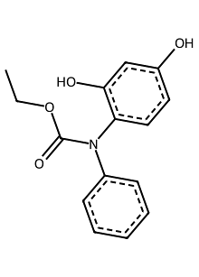 CCOC(=O)N(c1ccccc1)c1ccc(O)cc1O